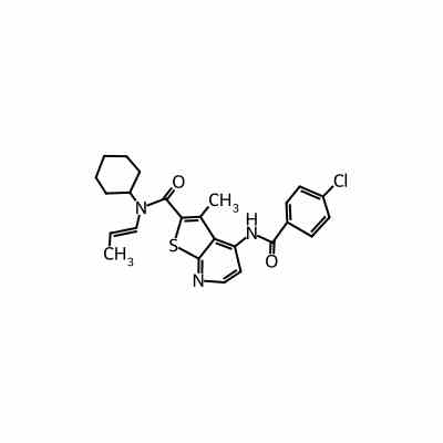 CC=CN(C(=O)c1sc2nccc(NC(=O)c3ccc(Cl)cc3)c2c1C)C1CCCCC1